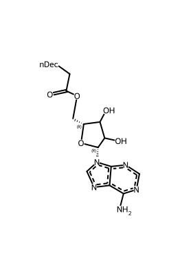 CCCCCCCCCCCC(=O)OC[C@H]1O[C@@H](n2cnc3c(N)ncnc32)C(O)C1O